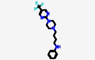 FC(F)(F)c1cnc(N2CCN(CCCCNc3ccccc3)CC2)nc1